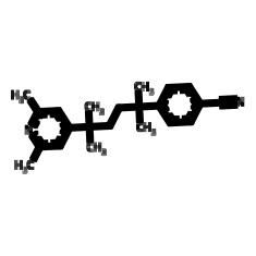 Cc1cc(C(C)(C)CCC(C)(C)c2ccc(C#N)cc2)cc(C)n1